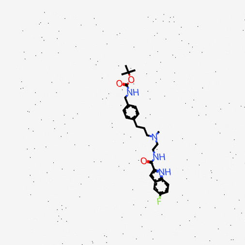 CN(CCCc1ccc(CNC(=O)OC(C)(C)C)cc1)CCNC(=O)c1cc2cc(F)ccc2[nH]1